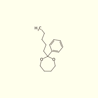 CCCCCC1(c2ccccc2)OCCCCO1